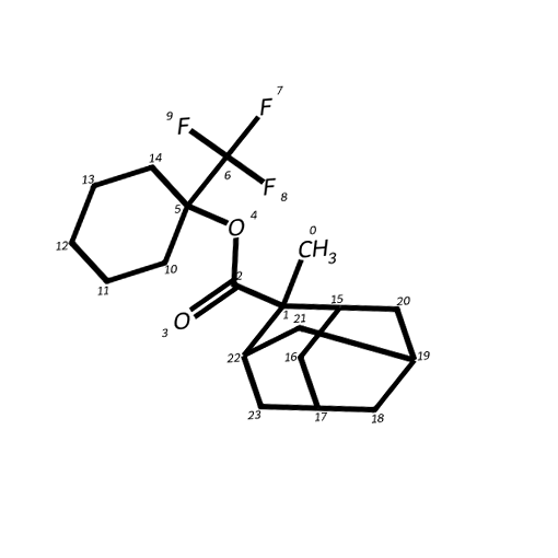 CC1(C(=O)OC2(C(F)(F)F)CCCCC2)C2CC3CC(C2)CC1C3